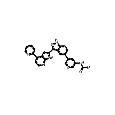 CCC(=O)Nc1cncc(-c2cnc3[nH]nc(-c4cc5c(-c6ccccn6)ccnc5[nH]4)c3c2)c1